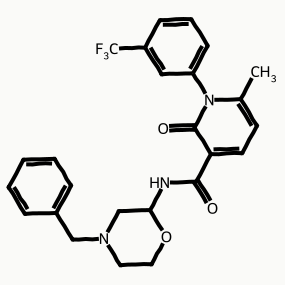 Cc1ccc(C(=O)NC2CN(Cc3ccccc3)CCO2)c(=O)n1-c1cccc(C(F)(F)F)c1